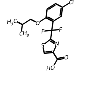 CC(C)COc1ccc(Cl)cc1C(F)(F)c1nc(C(=O)O)cs1